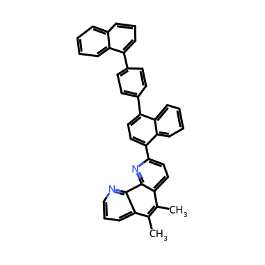 Cc1c(C)c2ccc(-c3ccc(-c4ccc(-c5cccc6ccccc56)cc4)c4ccccc34)nc2c2ncccc12